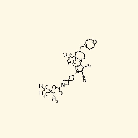 CC(C)(C)OC(=O)N1CC2(CC(n3nc(N4CC[C@@H](CN5CCOCC5)CC4(C)C)c(Br)c3C#N)C2)C1